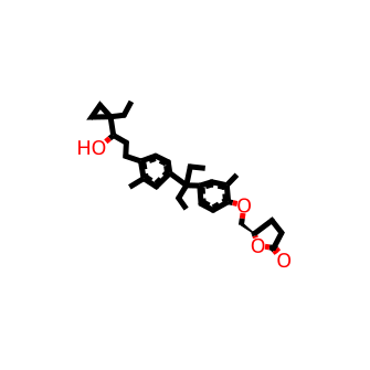 CCC(CC)(c1ccc(CCC(O)C2(CC)CC2)c(C)c1)c1ccc(OC[C@H]2CCC(=O)O2)c(C)c1